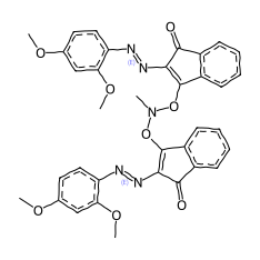 COc1ccc(/N=N/C2=C(ON(C)OC3=C(/N=N/c4ccc(OC)cc4OC)C(=O)c4ccccc43)c3ccccc3C2=O)c(OC)c1